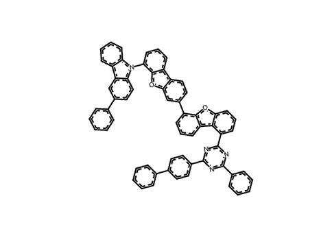 c1ccc(-c2ccc(-c3nc(-c4ccccc4)nc(-c4cccc5oc6c(-c7ccc8c(c7)oc7c(-n9c%10ccccc%10c%10cc(-c%11ccccc%11)ccc%109)cccc78)cccc6c45)n3)cc2)cc1